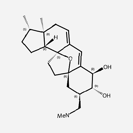 CNC[C@H]1C[C@@]23CC[C@@]4(O2)C(=CC[C@@]2(C)[C@H]4CC[C@@H]2C)C=C3[C@@H](O)[C@@H]1O